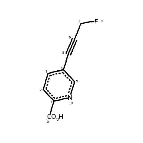 O=C(O)c1ccc(C#CCF)cn1